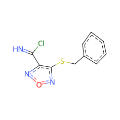 N=C(Cl)c1nonc1SCc1ccccc1